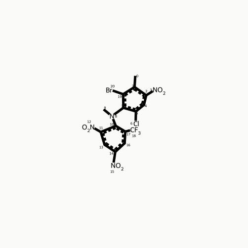 Cc1c([N+](=O)[O-])cc(Cl)c(N(C)c2c([N+](=O)[O-])cc([N+](=O)[O-])cc2C(F)(F)F)c1Br